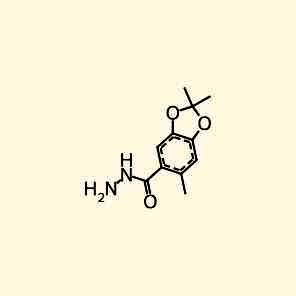 Cc1cc2c(cc1C(=O)NN)OC(C)(C)O2